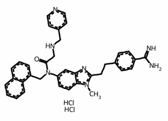 Cl.Cl.Cn1c(CCc2ccc(C(=N)N)cc2)nc2cc(N(Cc3cccc4ccccc34)C(=O)CNCc3ccncc3)ccc21